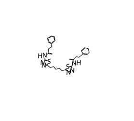 C=C(CCC1=CCCC=C1)Nc1nnc(CCCCCc2nnc(NC(=C)CCc3ccccc3)s2)s1